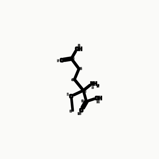 COC(N)(CCC(=O)O)C(=O)O